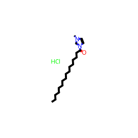 CCCCCCCCCCCCCCCC(=O)N1C=CN(C)C1.Cl